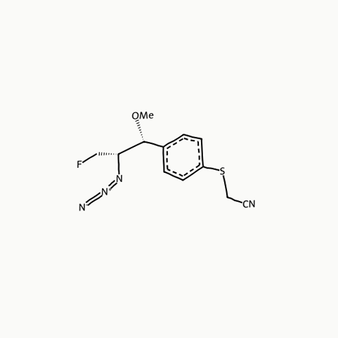 CO[C@H](c1ccc(SCC#N)cc1)[C@@H](CF)N=[N+]=[N-]